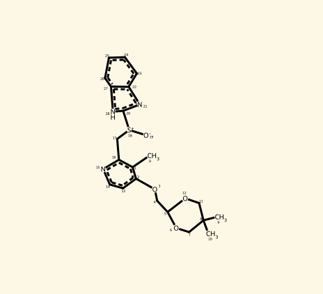 Cc1c(OCC2OCC(C)(C)CO2)ccnc1C[S+]([O-])c1nc2ccccc2[nH]1